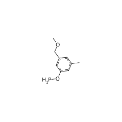 COCc1cc(C)cc(OP)c1